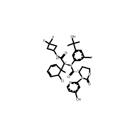 CC(C)(O)c1cc(F)cc(N(C(=O)[C@@H]2CCOC(=O)N2c2cc(C#N)ccn2)[C@H](C(=O)NC2CC(F)(F)C2)C2(C)C=CC=CC2Cl)c1